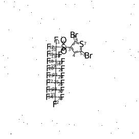 O=S(=O)(c1cc(Br)sc1Br)C(F)(F)C(F)(F)C(F)(F)C(F)(F)C(F)(F)C(F)(F)C(F)(F)C(F)(F)F